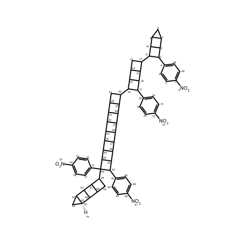 O=[N+]([O-])c1ccc(C2C3C4CC4C3C2C2CC3C2C2C(c4ccc([N+](=O)[O-])cc4)C(C4CC5C4C4C5C5C4C4C5C5C4C4C5C5C4C(c4ccc([N+](=O)[O-])cc4)C5(c4ccc([N+](=O)[O-])cc4)C4CC5C4C4C6C[C@@H]6C54)C32)cc1